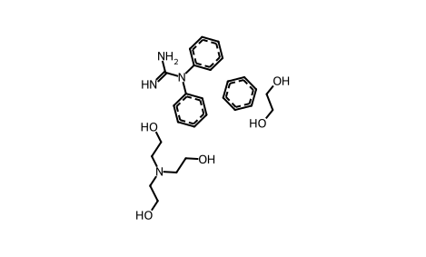 N=C(N)N(c1ccccc1)c1ccccc1.OCCN(CCO)CCO.OCCO.c1ccccc1